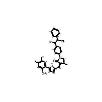 CC1=NN(c2ccc(C(=O)C(O)c3ccccc3)cc2)C(=O)C1=Cc1ccc(-c2cc(C)c(C)cc2[N+](=O)[O-])o1